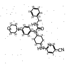 N#Cc1ccc(NC2CCC(N(C(=O)NCc3ccccc3)c3ccc(N4CCOCC4)cc3)CC2)nc1